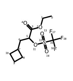 CCOC(=O)C(CC1CCC1)OS(=O)(=O)C(F)(F)F